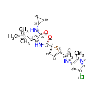 Cc1ncc(Cl)cc1N[C@@H](C)c1ccc(C(=O)N[C@@H](CCC(C)(C)C)C(=O)NC2CC2)s1